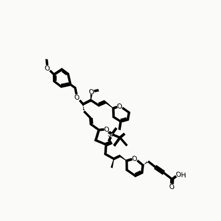 C=C(CC(/C=C/C[C@H](OCc1ccc(OC)cc1)[C@H](/C=C/[C@@H]1CC(C)=CCO1)OC)O[Si](C)(C)C(C)(C)C)C[C@H](C)C[C@@H]1CC=C[C@@H](CC#CC(=O)O)O1